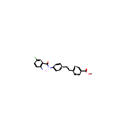 COC(=O)c1ccc(/C=C/c2ccc(NC(=O)c3cc(Cl)ccc3[N+](=O)[O-])cc2)cc1